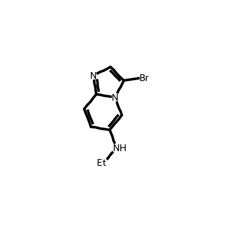 CCNc1ccc2ncc(Br)n2c1